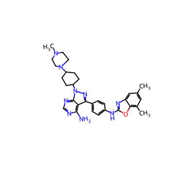 Cc1cc(C)c2oc(Nc3ccc(-c4nn(C5CCC(N6CCN(C)CC6)CC5)c5ncnc(N)c45)cc3)nc2c1